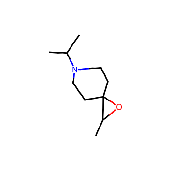 CC(C)N1CCC2(CC1)OC2C